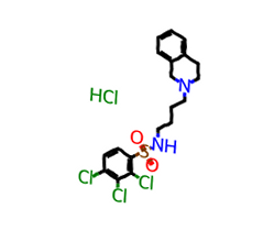 Cl.O=S(=O)(NCCCCN1CCc2ccccc2C1)c1ccc(Cl)c(Cl)c1Cl